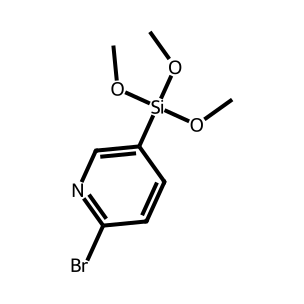 CO[Si](OC)(OC)c1ccc(Br)nc1